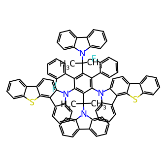 CC(C)(c1c(-c2ccccc2F)c(-n2c3ccccc3c3c4sc5ccccc5c4ccc32)c(C(C)(C)n2c3ccccc3c3ccccc32)c(-n2c3ccccc3c3c4sc5ccccc5c4ccc32)c1-c1ccccc1F)n1c2ccccc2c2ccccc21